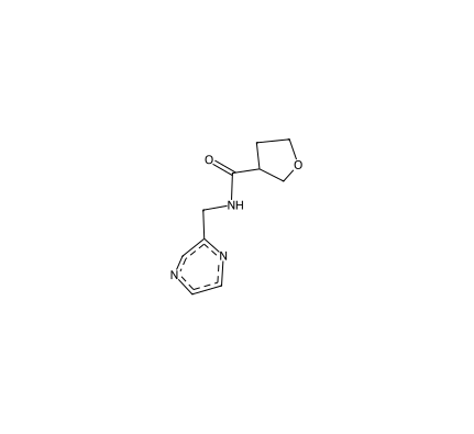 O=C(NCc1cnccn1)C1CCOC1